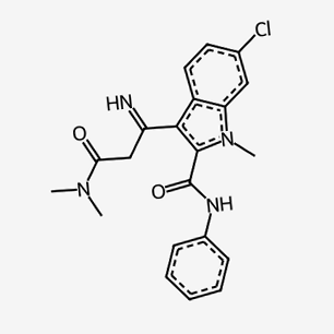 CN(C)C(=O)CC(=N)c1c(C(=O)Nc2ccccc2)n(C)c2cc(Cl)ccc12